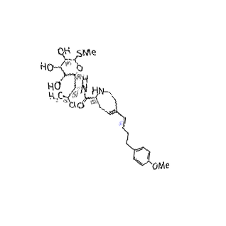 COc1ccc(CC/C=C/C2=CC[C@@H](C(=O)N[C@H]([C@H](C)Cl)[C@H]3OC(SC)[C@H](O)C(O)C3O)NCC2)cc1